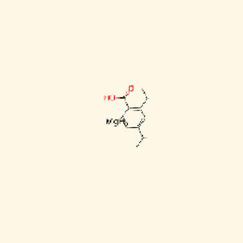 CC(C)c1ccc(C(=O)O)c(C(C)C)c1.[MgH2]